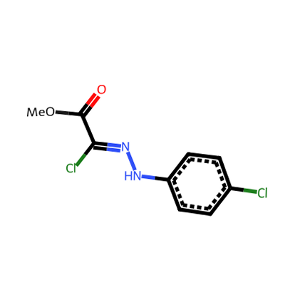 COC(=O)C(Cl)=NNc1ccc(Cl)cc1